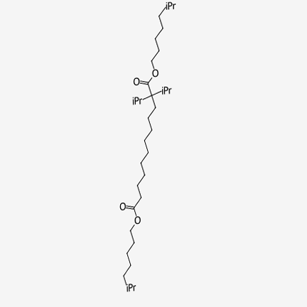 CC(C)CCCCCOC(=O)CCCCCCCCCC(C(=O)OCCCCCC(C)C)(C(C)C)C(C)C